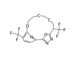 FC(F)(F)c1ccc2nc1OCCCCCCC(C(F)(F)F)c1nnc-2o1